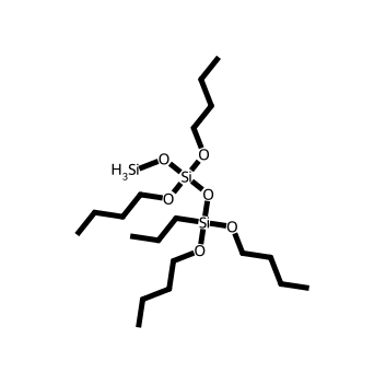 CCCCO[Si](CCC)(OCCCC)O[Si](O[SiH3])(OCCCC)OCCCC